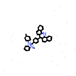 CC1C=CC(N2c3ccccc3N(C)C2C2C=CC(c3c4ccc5c(c4nc4c3ccc3ccccc34)C=CCC5)=CC2)=CC1